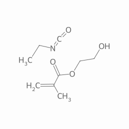 C=C(C)C(=O)OCCO.CCN=C=O